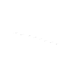 O=C(O)CCCCCCCCCCOCCCO